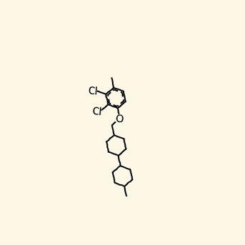 Cc1ccc(OCC2CCC(C3CCC(C)CC3)CC2)c(Cl)c1Cl